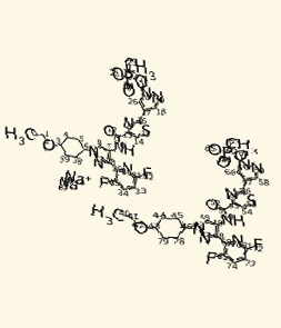 CCOC1CCC(n2cc(NC(=O)c3csc(-c4cnn(OP(C)(=O)[O-])c4)n3)c(-c3nc(F)ccc3F)n2)CC1.CCOC1CCC(n2cc(NC(=O)c3csc(-c4cnn(OP(C)(=O)[O-])c4)n3)c(-c3nc(F)ccc3F)n2)CC1.[Na+].[Na+]